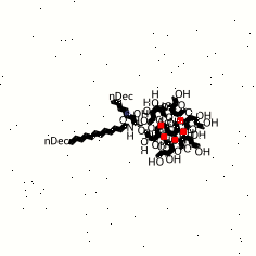 CCCCCCCCCCCCC/C=C/[C@@H](O)[C@H](CO[C@@H]1OC(CO)[C@@H](O[C@@H]2OC(CO)[C@H](O)[C@H](O[C@H]3OC(CO)[C@H](O)[C@H](O[C@@H]4OC(CO)[C@H](O)[C@H](O[C@@H]5OC(CO)[C@H](O)[C@H](O[C@H]6OC(CO)[C@H](O)[C@H](O)C6O)C5O[C@H]5OC(C)[C@@H](O)C(O)[C@@H]5O)C4NC(C)=O)C3O)C2O)[C@H](O)C1O)NC(=O)CCCCCCCCCCCCCCCCCCCCC